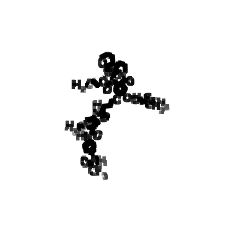 C=CCOC(=O)N1c2cc(OCCCC(=O)Nc3cc(C(=O)Nc4ccc(NC(=O)C(F)(F)F)cc4)n(C)c3)c(OCOCC[Si](C)(C)C)cc2C(=O)N2CCCC[C@H]2C1OC1CCCCO1